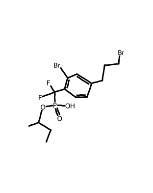 CCC(C)OP(=O)(O)C(F)(F)c1ccc(CCCBr)cc1Br